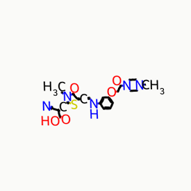 CCn1c(=C=C(C#N)C(=O)O)sc(=C=CNc2cccc(OCC(=O)N3CCN(C)CC3)c2)c1=O